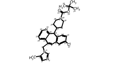 Cc1cncn1CC1=Cc2cc(Cl)ccc2C(C2CCN(C(=O)OC(C)(C)C)CC2)c2ncccc21